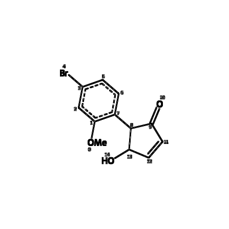 COc1cc(Br)ccc1C1C(=O)C=CC1O